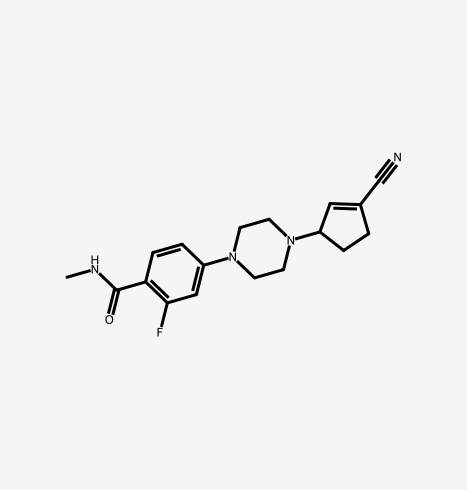 CNC(=O)c1ccc(N2CCN(C3C=C(C#N)CC3)CC2)cc1F